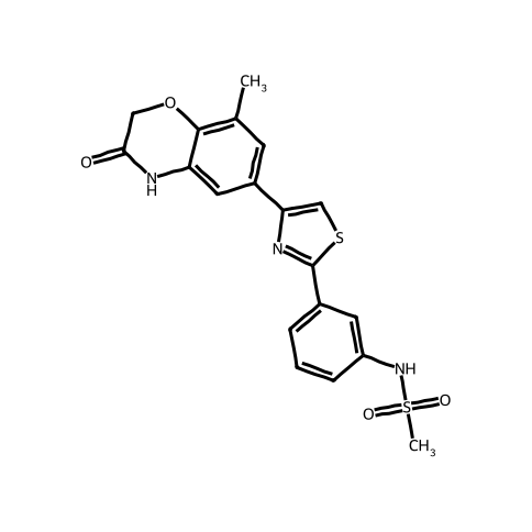 Cc1cc(-c2csc(-c3cccc(NS(C)(=O)=O)c3)n2)cc2c1OCC(=O)N2